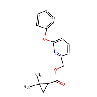 CC1(C)CC1C(=O)OCc1cccc(Oc2ccccc2)n1